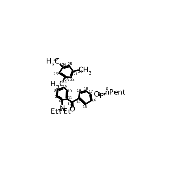 CCCCCP=O.CCN(CC)c1ccccc1C(=O)c1ccccc1.Cc1cc(C)cc(C)c1